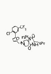 CCCN1C(=O)C(CC(C)C)NC(=O)C12CCN(Cc1ccc(-c3cc(C(F)(F)F)ccc3Cl)o1)CC2